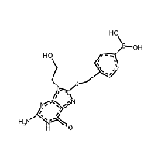 Nc1nc2c(nc(SCc3ccc(B(O)O)cc3)n2CCO)c(=O)[nH]1